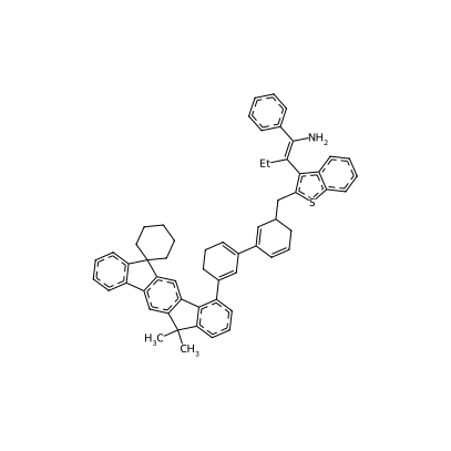 CC/C(=C(/N)c1ccccc1)c1c(CC2C=C(C3=CCCC(c4cccc5c4-c4cc6c(cc4C5(C)C)-c4ccccc4C64CCCCC4)=C3)C=CC2)sc2ccccc12